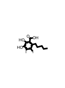 CCCCCc1c(I)c(I)c(O)c(O)c1C(=O)O